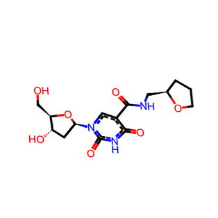 O=C(NC[C@H]1CCCO1)c1cn([C@H]2C[C@H](O)[C@@H](CO)O2)c(=O)[nH]c1=O